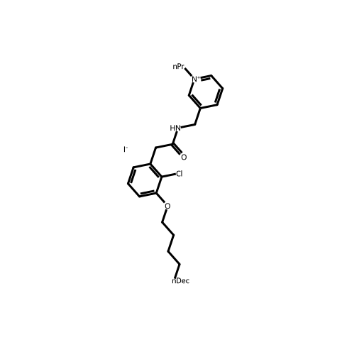 CCCCCCCCCCCCCCOc1cccc(CC(=O)NCc2ccc[n+](CCC)c2)c1Cl.[I-]